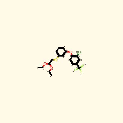 CCOC(CSc1cccc(Oc2ccc(C(F)(F)F)cc2Cl)c1)OCC